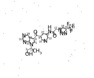 C[C@@H](CO)n1cc(C(=O)c2cncc(NC(=O)Cn3cc(C(F)(F)F)nn3)c2)c2cncnc21